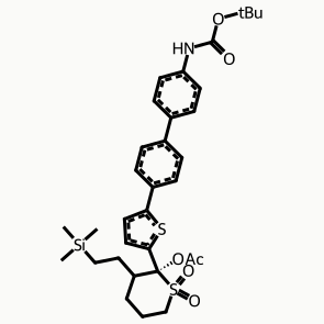 CC(=O)O[C@@]1(c2ccc(-c3ccc(-c4ccc(NC(=O)OC(C)(C)C)cc4)cc3)s2)C(CC[Si](C)(C)C)CCCS1(=O)=O